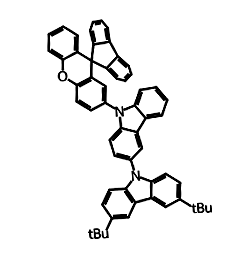 CC(C)(C)c1ccc2c(c1)c1cc(C(C)(C)C)ccc1n2-c1ccc2c(c1)c1ccccc1n2-c1ccc2c(c1)C1(c3ccccc3O2)c2ccccc2-c2ccccc21